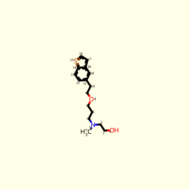 CN(CCO)CCCOCCc1ccc2sccc2c1